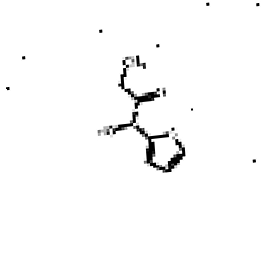 CCC(=O)C(O)c1cccs1